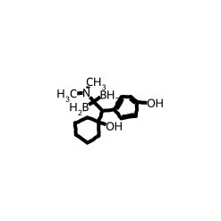 BC(B)(C(c1ccc(O)cc1)C1(O)CCCCC1)N(C)C